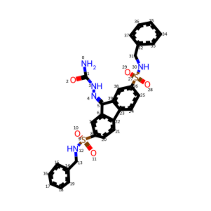 NC(=O)NN=C1c2cc(S(=O)(=O)NCc3ccccc3)ccc2-c2ccc(S(=O)(=O)NCc3ccccc3)cc21